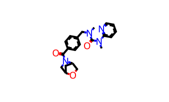 CN(Cc1ccc(C(=O)N2CC3CC2CO3)cc1)C(=O)N(C)c1ccccn1